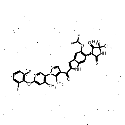 Cc1cc(Oc2c(F)cccc2F)ncc1-n1ncc(C(=O)c2cc3cc(OC(F)F)c(N4C(=O)C(C)(C)NC4=S)cc3[nH]2)c1N